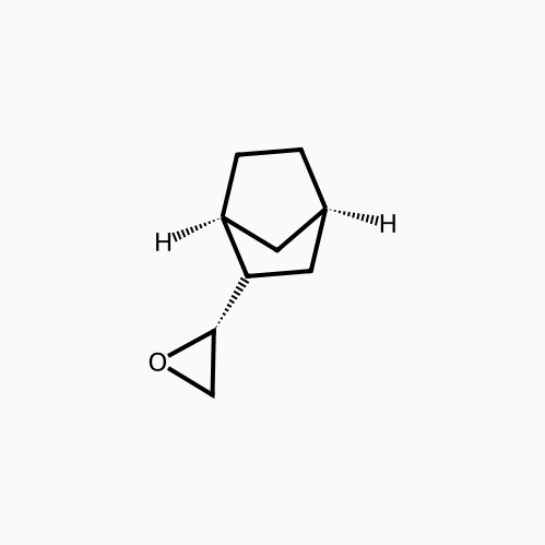 C1C[C@H]2C[C@@H]1CC2[C@@H]1CO1